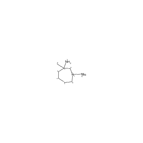 CC1(N)CCCCN(C(C)(C)C)C1